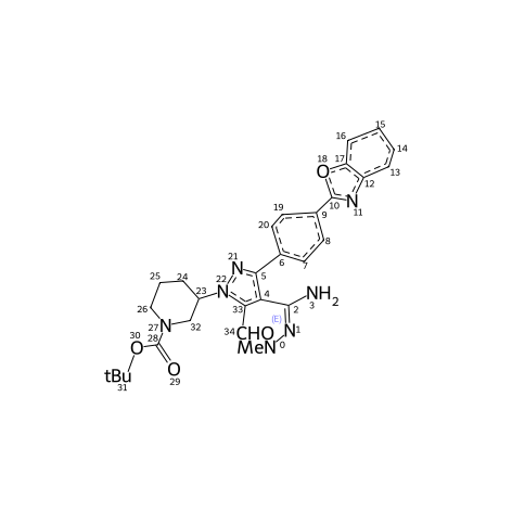 CN/N=C(/N)c1c(-c2ccc(-c3nc4ccccc4o3)cc2)nn(C2CCCN(C(=O)OC(C)(C)C)C2)c1C=O